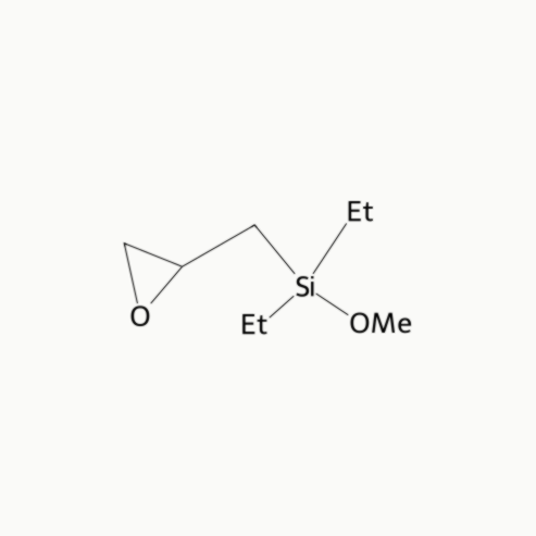 CC[Si](CC)(CC1CO1)OC